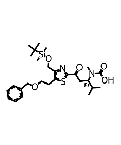 CC(C)[C@@H](CC(=O)c1nc(CO[Si](C)(C)C(C)(C)C)c(CCOCc2ccccc2)s1)N(C)C(=O)O